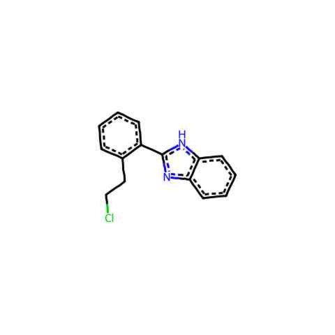 ClCCc1ccccc1-c1nc2ccccc2[nH]1